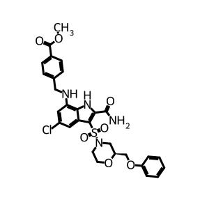 COC(=O)c1ccc(CNc2cc(Cl)cc3c(S(=O)(=O)N4CCO[C@H](COc5ccccc5)C4)c(C(N)=O)[nH]c23)cc1